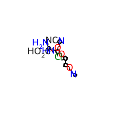 Cc1c(COc2cc(OCc3cncc(C#N)c3)c(CN[C@@H](CCCN)C(=O)O)cc2Cl)cccc1-c1cccc(OCCCN2CCCC2)c1